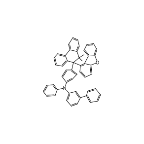 CC1(C)c2ccccc2-c2ccccc2C1(c1ccc(N(c2ccccc2)c2cccc(-c3ccccc3)c2)cc1)c1cccc2oc3ccccc3c12